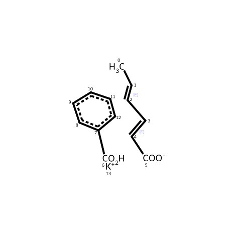 C/C=C/C=C/C(=O)[O-].O=C(O)c1ccccc1.[K+]